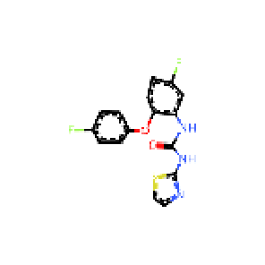 O=C(Nc1nccs1)Nc1cc(F)ccc1Oc1ccc(F)cc1